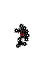 C1=CC2c3ccc4c5ccc6c7ccccc7n(-c7nc(-c8ccccc8)nc(-c8ccccc8)n7)c6c5n(-c5ccccc5)c4c3N(c3ccccc3)C2c2c1c1ccccc1n2-c1cccc(-c2ccnc(-c3nc(-c4ccccc4)nc(-c4ccccc4)n3)c2)c1